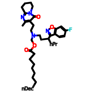 CCCCCCCCCCCCCCCCCC(=O)OCN(CCc1c(C)nc2n(c1=O)CCCC2)CCC(CCC)c1noc2cc(F)ccc12